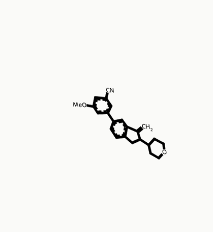 C=C1c2cc(-c3cc(C#N)cc(OC)c3)ccc2CC1C1CCOCC1